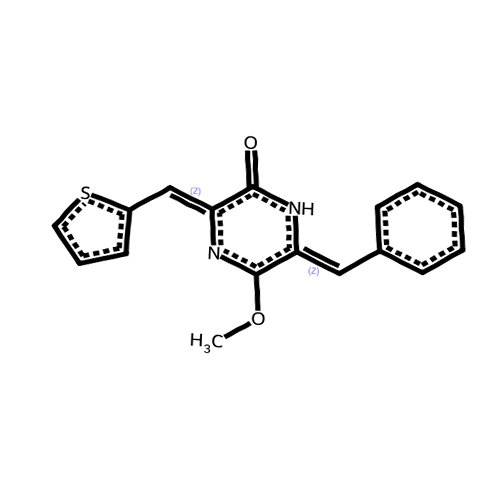 COc1n/c(=C\c2cccs2)c(=O)[nH]/c1=C\c1ccccc1